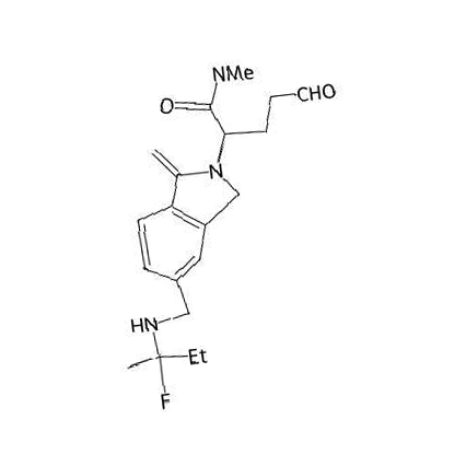 C=C1c2ccc(CNC(C)(F)CC)cc2CN1C(CCC=O)C(=O)NC